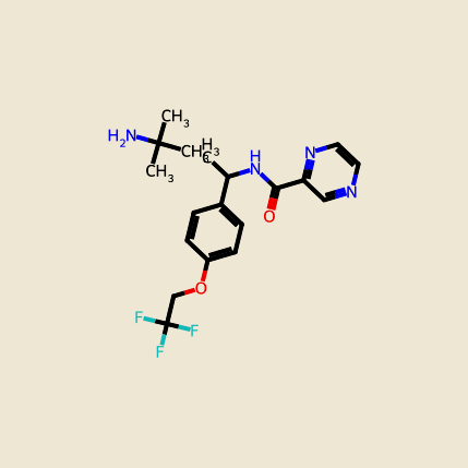 CC(C)(C)N.CC(NC(=O)c1cnccn1)c1ccc(OCC(F)(F)F)cc1